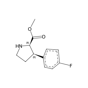 COC(=O)[C@@H]1NCC[C@@H]1c1ccc(F)cc1